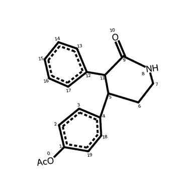 CC(=O)Oc1ccc(C2CCNC(=O)C2c2ccccc2)cc1